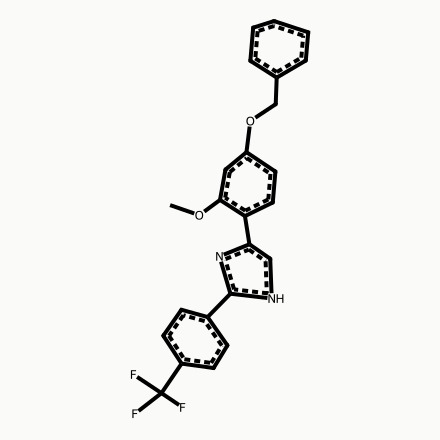 COc1cc(OCc2ccccc2)ccc1-c1c[nH]c(-c2ccc(C(F)(F)F)cc2)n1